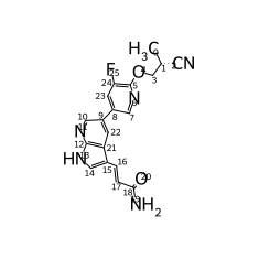 C[C@H](C#N)COc1ncc(-c2cnc3[nH]cc(/C=C/C(N)=O)c3c2)cc1F